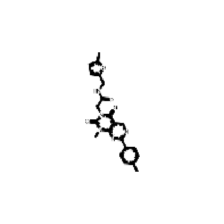 Cc1ccc(-c2ncc3c(=O)n(CC(=O)NCc4ccc(C)o4)c(=O)n(C)c3n2)cc1